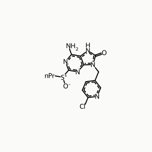 CCC[S+]([O-])c1nc(N)c2[nH]c(=O)n(Cc3ccc(Cl)nc3)c2n1